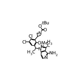 COc1c(C(C)n2nc(C)c3c(N)nccc32)cc(Cl)c(Cl)c1C1CN(C(=O)OC(C)(C)C)C1